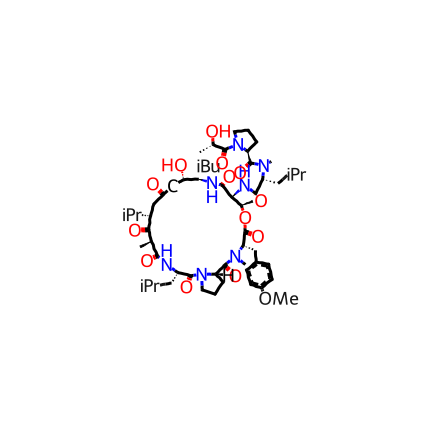 CC[C@H](C)[C@H]1NC(=O)[C@@H](NC(=O)[C@@H](CC(C)C)N(C)C(=O)[C@@H]2CCCN2C(=O)[C@H](C)O)[C@@H](C)OC(=O)[C@H](Cc2ccc(OC)cc2)N(C)C(=O)[C@@H]2CCCN2C(=O)[C@H](CC(C)C)NC(=O)[C@@H](C)C(=O)[C@H](C(C)C)CC(=O)C[C@@H]1O